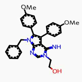 COc1ccc(-c2c(-c3ccc(OC)cc3)n(Cc3ccccc3)c3ncn(CCO)c(=N)c23)cc1